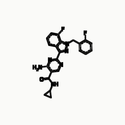 Nc1nc(-c2nn(Cc3ccccc3F)c3c(F)cccc23)ncc1C(=O)NC1CC1